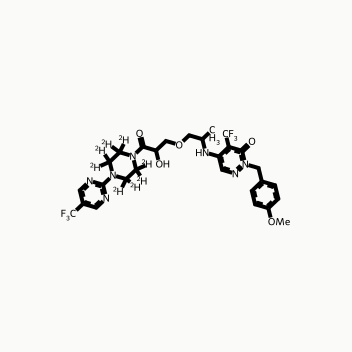 [2H]C1([2H])N(C(=O)C(O)COCC(C)Nc2cnn(Cc3ccc(OC)cc3)c(=O)c2C(F)(F)F)C([2H])([2H])C([2H])([2H])N(c2ncc(C(F)(F)F)cn2)C1([2H])[2H]